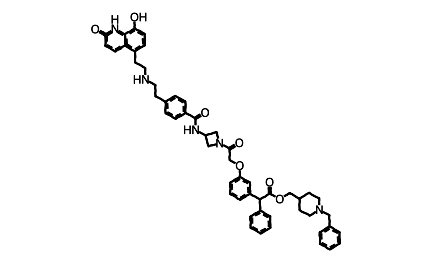 O=C(NC1CN(C(=O)COc2cccc(C(C(=O)OCC3CCN(Cc4ccccc4)CC3)c3ccccc3)c2)C1)c1ccc(CCNCCc2ccc(O)c3[nH]c(=O)ccc23)cc1